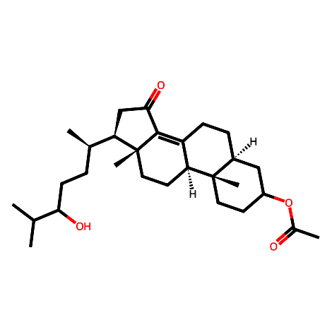 CC(=O)OC1CC[C@@]2(C)[C@@H](CCC3=C4C(=O)C[C@H]([C@H](C)CCC(O)C(C)C)[C@@]4(C)CC[C@@H]32)C1